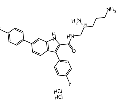 Cl.Cl.NCCC[C@@H](N)CNC(=O)c1[nH]c2cc(-c3ccc(F)cc3)ccc2c1-c1ccc(F)cc1